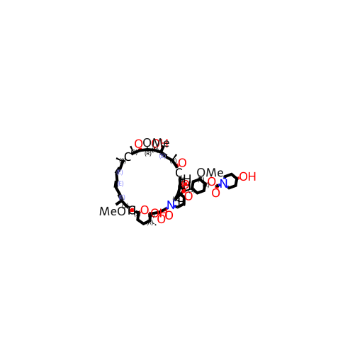 CO[C@H]1C[C@@H]2CC[C@@H](C)[C@@](O)(O2)C(=O)C(=O)N2CCCC3[C@H]2C(=O)O[C@@H](CC(=O)[C@H](C)/C=C(\C)[C@@H](O)[C@@H](OC)C(=O)[C@H](C)C[C@H](C)/C=C/C=C/C=C/1C)[C@H]3C[C@@H]1CC[C@@H](OC(=O)N2CCC(O)CC2)[C@H](OC)C1